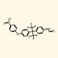 O=CNc1ccc(C(c2ccc(Oc3ccc([N+](=O)[O-])cc3)cc2)(C(F)(F)F)C(F)(F)F)cc1